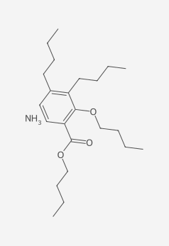 CCCCOC(=O)c1ccc(CCCC)c(CCCC)c1OCCCC.N